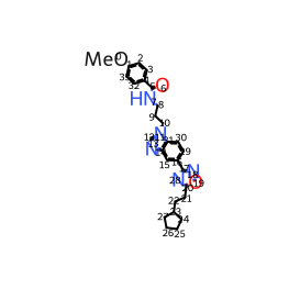 COc1ccc(C(=O)NCCCn2cnc3cc(-c4noc(CCC5CCCC5)n4)ccc32)cc1